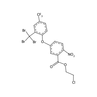 O=C(OCCCl)c1cc(Oc2ccc(C(F)(F)F)cc2C(Br)(Br)Br)ccc1[N+](=O)[O-]